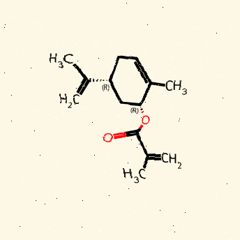 C=C(C)C(=O)O[C@@H]1C[C@H](C(=C)C)CC=C1C